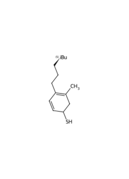 CC[C@H](C)CCCC1=C(C)CC(S)C=C1